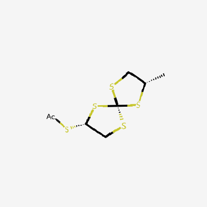 CC(=O)S[C@H]1CS[C@@]2(SC[C@H](C)S2)S1